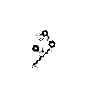 CCCCCCCN(CCO[C@H]1CCC[C@@H](OCc2cccc(C)c2N=C=O)C1)C(=O)Nc1ccccc1